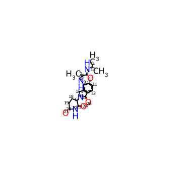 CC(C)NC(=O)[C@@H](C)Nc1cccc2c1CN(C1CCC(=O)NC1=O)C2=O